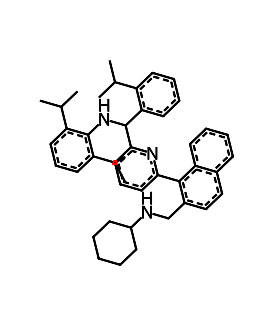 CC(C)c1ccccc1C(Nc1c(C(C)C)cccc1C(C)C)c1cccc(-c2c(CNC3CCCCC3)ccc3ccccc23)n1